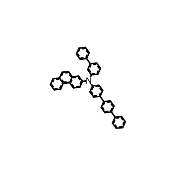 c1ccc(-c2ccc(-c3ccc(N(c4cccc(-c5ccccc5)c4)c4ccc5c(ccc6ccccc65)c4)cc3)cc2)cc1